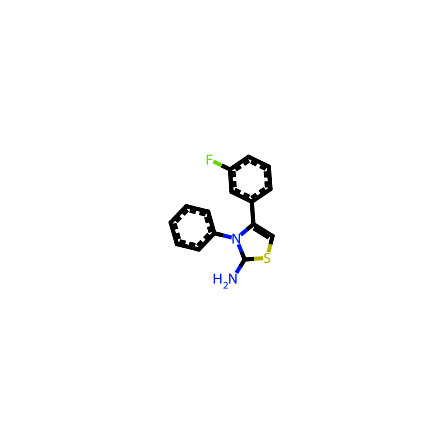 NC1SC=C(c2cccc(F)c2)N1c1ccccc1